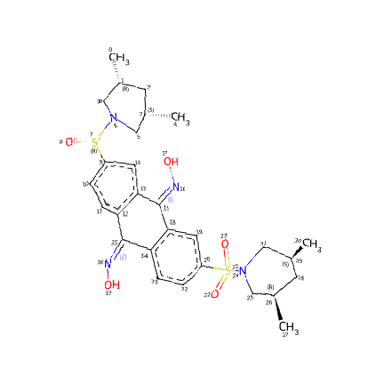 C[C@@H]1C[C@H](C)CN([S@@+]([O-])c2ccc3c(c2)/C(=N\O)c2cc(S(=O)(=O)N4C[C@H](C)C[C@H](C)C4)ccc2/C3=N\O)C1